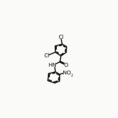 O=C(Nc1ccccc1[N+](=O)[O-])c1ccc(Cl)cc1Cl